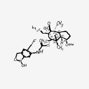 C=C[C@]1(C)C[C@@H](OC(=O)Nc2cc3c(cc2F)COB3O)[C@]2(C)[C@H](C)CC[C@]3(CC[C@@H](OC)[C@@H]32)[C@@H](C)C1=O